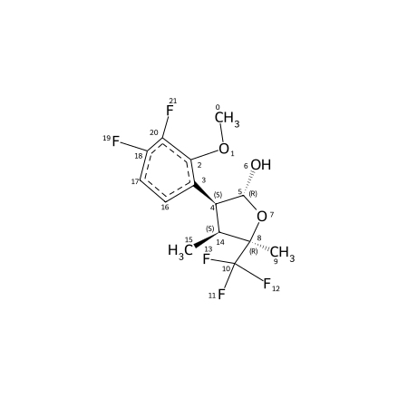 COc1c([C@H]2[C@H](O)O[C@@](C)(C(F)(F)F)[C@H]2C)ccc(F)c1F